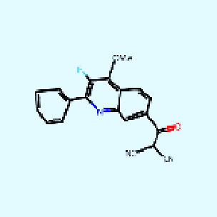 COc1c(F)c(-c2ccccc2)nc2cc(C(=O)C(C#N)C#N)ccc12